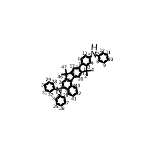 CC1(C)c2cc(Nc3ccccc3)ccc2-c2cc3c(cc21)-c1c(cc(N(c2ccccc2)c2ccccc2)c2ccccc12)C3(C)C